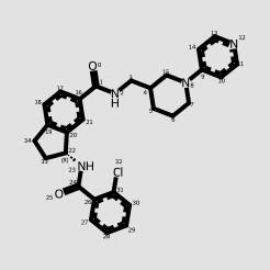 O=C(NCC1CCCN(c2ccncc2)C1)c1ccc2c(c1)[C@H](NC(=O)c1ccccc1Cl)CC2